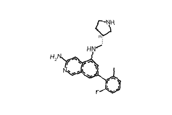 Cc1cccc(F)c1-c1cc(NC[C@@H]2CCNC2)c2cc(N)ncc2c1